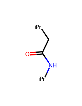 CC(C)CC(=O)NC(C)C